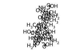 CC(C)C[C@H](NC(=O)[C@H](CCC(=O)O)NC(=O)[C@H](C)NC(=O)CNC(=O)[C@H](CCC(N)=O)NC(=O)[C@H](CCC(=O)O)N(C)C(=O)[C@@H](N)[C@@H](C)O)C(=O)N1C[C@H](O)C[C@H]1C(=O)N[C@H](CC(N)=O)C(=O)N[C@@H](CCC(=O)O)C(=O)N[C@H](CCC(N)=O)C(N)=O